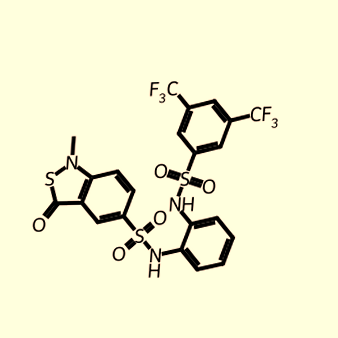 Cn1sc(=O)c2cc(S(=O)(=O)Nc3ccccc3NS(=O)(=O)c3cc(C(F)(F)F)cc(C(F)(F)F)c3)ccc21